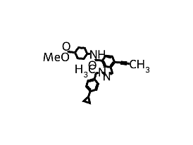 CC#Cc1ccc(C(=O)NC2CCC(C(=O)OC)CC2)c2c1cnn2C(C)c1ccc(C2CC2)cc1